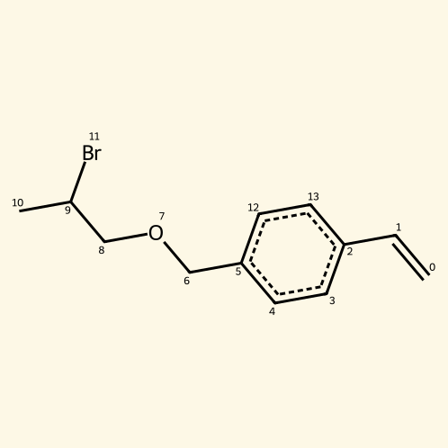 C=Cc1ccc(COCC(C)Br)cc1